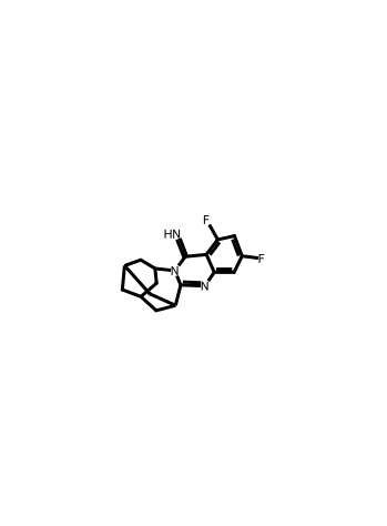 N=c1c2c(F)cc(F)cc2nc2n1C1CC3CC(CC2C3)C1